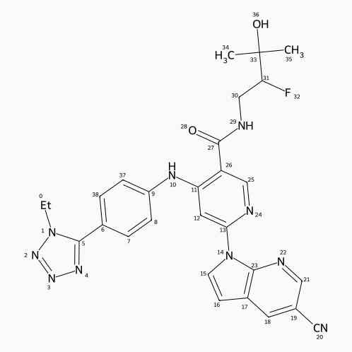 CCn1nnnc1-c1ccc(Nc2cc(-n3ccc4cc(C#N)cnc43)ncc2C(=O)NCC(F)C(C)(C)O)cc1